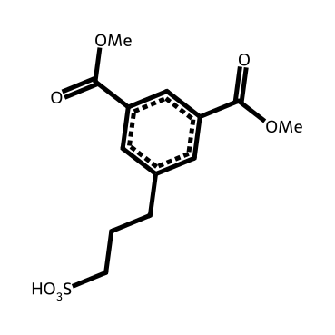 COC(=O)c1cc(CCCS(=O)(=O)O)cc(C(=O)OC)c1